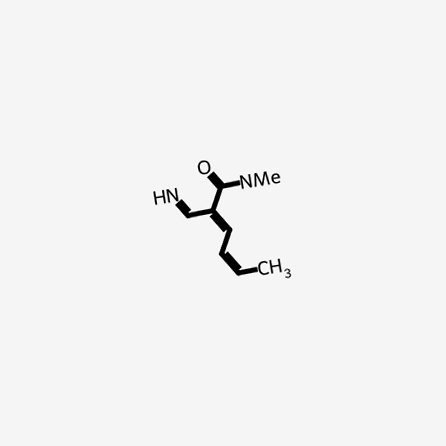 C/C=C\C=C(/C=N)C(=O)NC